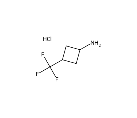 Cl.NC1CC(C(F)(F)F)C1